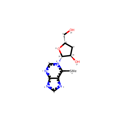 CSc1c2ncnc-2ncn1[C@@H]1O[C@H](CO)C[C@H]1O